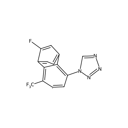 Fc1cc2ccc1c1c(C(F)(F)F)[c]cc(-n3cnnn3)c21